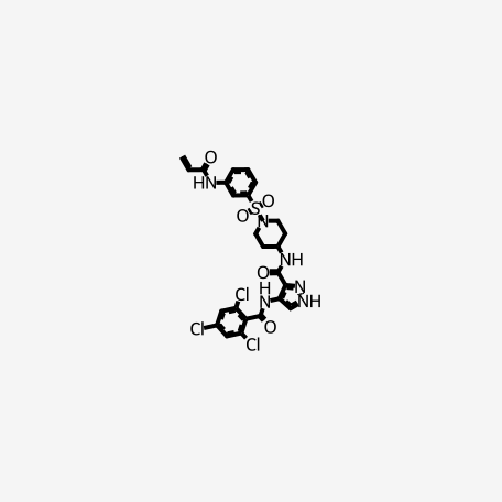 C=CC(=O)Nc1cccc(S(=O)(=O)N2CCC(NC(=O)c3n[nH]cc3NC(=O)c3c(Cl)cc(Cl)cc3Cl)CC2)c1